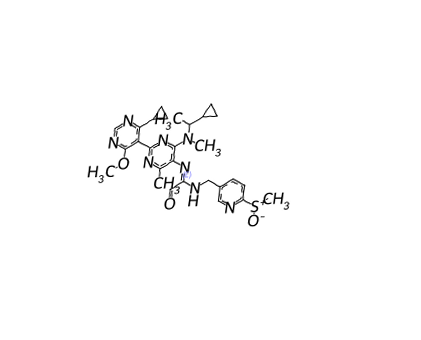 COc1ncnc(C2CC2)c1-c1nc(C)c(/N=C(\C=O)NCc2ccc([S+](C)[O-])nc2)c(N(C)C(C)C2CC2)n1